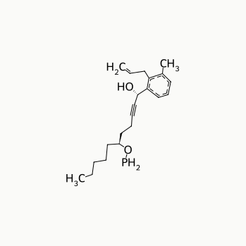 C=CCc1c(C)cccc1[C@@H](O)C#CCC[C@H](CCCCC)OP